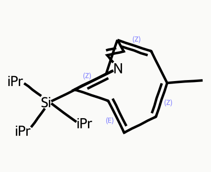 CC1=C/C=C/C=c2/c(ccn2[Si](C(C)C)(C(C)C)C(C)C)=C\1